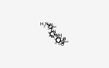 Cc1nc(N)sc1-c1ccnc(Nc2cccc(S(C)(=O)=O)c2)n1